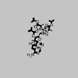 CC(C)OC(=O)[C@@H](C)N[PH](O)(N[C@H](C)C(=O)OC(C)C)OC[C@H]1O[C@@](C#N)(c2ccc3c(N)ncnn23)[C@](C)(O)[C@@H]1OC(=O)C(C)C